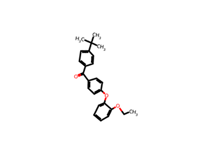 CCOc1ccccc1Oc1ccc(C(=O)c2ccc(C(C)(C)C)cc2)cc1